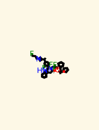 CC(c1cc(F)c([C@@H]2c3[nH]c4ccccc4c3C[C@@H](C)N2CC(F)(F)CO[Si](c2ccccc2)(c2ccccc2)C(C)(C)C)c(F)c1)C1CN(CCCF)C1